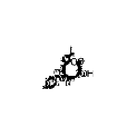 C/C(=C\I)C1OC(=O)CC(O)CCC(C)C(OC(=O)N2CCN(C)CC2)/C=C\C1C